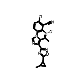 Cc1c2c(-c3noc(C4CC4C)n3)ncn2c2ccc(Cl)c(C#N)c2[n+]1[O-]